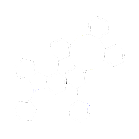 c1ccc(-n2c3ccccc3c3c(-c4cccc5c4-c4ccc(-c6ccccn6)cc4Sc4ccccc4-c4ccccc4S5)cccc32)cc1